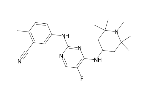 Cc1ccc(Nc2ncc(F)c(NC3CC(C)(C)N(C)C(C)(C)C3)n2)cc1C#N